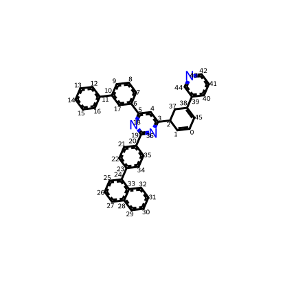 C1=CC(c2cc(-c3cccc(-c4ccccc4)c3)nc(-c3ccc(-c4cccc5ccccc45)cc3)n2)CC(c2cccnc2)=C1